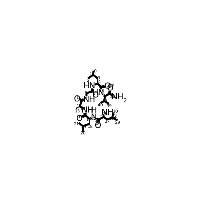 CC(C)C[C@H](NC(=O)CNC(=O)[C@H](C)NC(=O)[C@H](CC(C)C)NC(=O)[C@@H](N)CC(C)C)C(=O)N[C@H](C(N)=O)C(C)C